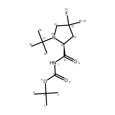 CC(C)(C)OC(=O)NC(=O)[C@@H]1CC(F)(F)CN1C(C)(C)C